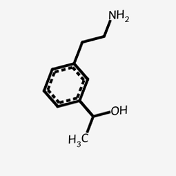 CC(O)c1cccc(CCN)c1